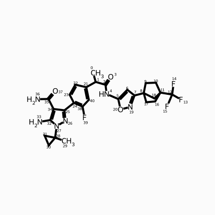 CC(C(=O)Nc1cc(C23CCC(C(F)(F)F)(CC2)C3)no1)c1ccc(-c2nn(C3(C)CC3)c(N)c2C(N)=O)c(F)c1